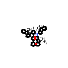 CC1(C)c2ccccc2-c2ccc(N(c3ccc4c(c3)C(C)(C)c3ccccc3-4)c3cccc(-c4cccc5c4C(C)(C)c4ccccc4-5)c3-c3ccc(-c4ccccc4)cc3)cc21